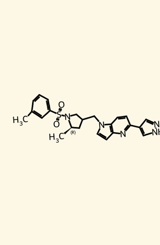 Cc1cccc(S(=O)(=O)N2CC(Cn3ccc4nc(-c5cn[nH]c5)ccc43)C[C@H]2C)c1